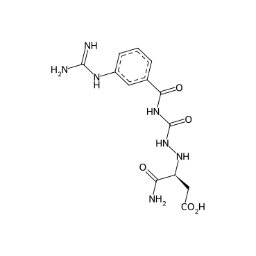 N=C(N)Nc1cccc(C(=O)NC(=O)NN[C@@H](CC(=O)O)C(N)=O)c1